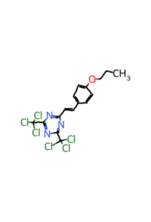 CCCOc1ccc(C=Cc2nc(C(Cl)(Cl)Cl)nc(C(Cl)(Cl)Cl)n2)cc1